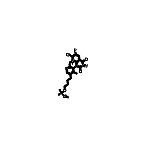 Cc1c(CCCCO[Si](C)(C)C(C)(C)C)cnc(C(C)C)c1-n1c(=O)[nH]c(=O)c2cc(F)c(Cl)nc21